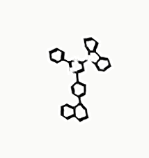 c1ccc(-c2nc(-c3ccc(-c4cccc5ccccc45)cc3)cc(-n3c4ccccc4c4ccccc43)n2)cc1